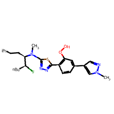 CCCC[C@H](F)[C@@H](CCC(C)C)N(C)c1nnc(-c2ccc(-c3cnn(C)c3)cc2OO)s1